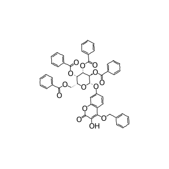 O=C(OC[C@H]1O[C@@H](Oc2ccc3c(OCc4ccccc4)c(O)c(=O)oc3c2)[C@H](OC(=O)c2ccccc2)[C@@H](OC(=O)c2ccccc2)[C@H]1OC(=O)c1ccccc1)c1ccccc1